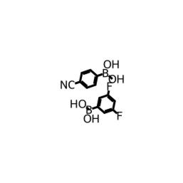 N#Cc1ccc(B(O)O)cc1.OB(O)c1cc(F)cc(F)c1